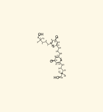 CC(C)(CO)CCCc1cc(=O)cc(CCCc2cc(=O)cc(CCCC(C)(C)CO)s2)s1